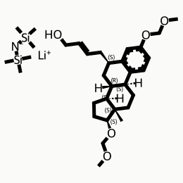 COCOc1ccc2c(c1)[C@H](CC=CCO)C[C@@H]1[C@@H]2CC[C@]2(C)[C@@H](OCOC)CC[C@@H]12.C[Si](C)(C)[N-][Si](C)(C)C.[Li+]